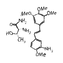 COc1ccc(C=Cc2cc(OC)c(OC)c(OC)c2)cc1N.C[C@H](O)[C@@H](N)C(N)=O